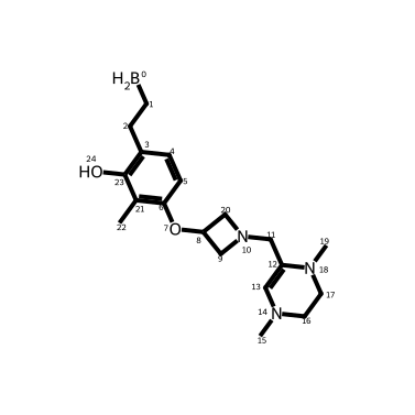 BCCc1ccc(OC2CN(CC3=CN(C)CCN3C)C2)c(C)c1O